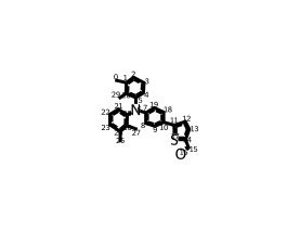 Cc1cccc(N(c2ccc(-c3ccc(C=O)s3)cc2)c2cccc(C)c2C)c1C